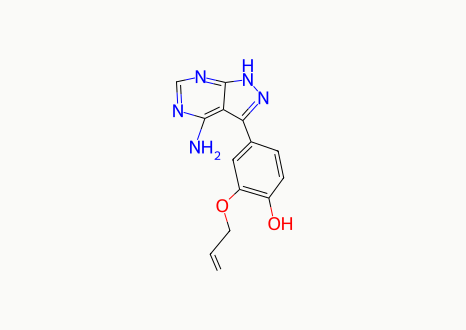 C=CCOc1cc(-c2n[nH]c3ncnc(N)c23)ccc1O